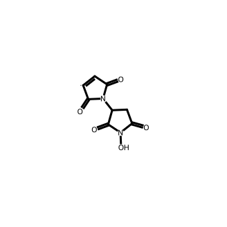 O=C1CC(N2C(=O)[C]=CC2=O)C(=O)N1O